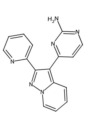 Nc1nccc(-c2c(-c3ccccn3)nn3ccccc23)n1